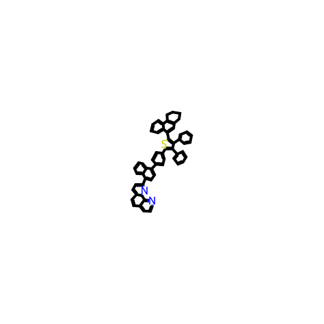 c1ccc(-c2c(-c3ccc(-c4ccc(-c5ccc6ccc7cccnc7c6n5)c5ccccc45)cc3)sc(-c3cc4c(c5ccccc35)CCCC4)c2-c2ccccc2)cc1